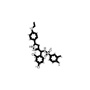 CCOc1ccc(C2CC(C(NS(=O)(=O)c3ccc(F)c(C)c3)c3ccc(Cl)cc3Cl)=NN2)cc1